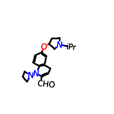 CC(C)N1CCC(Oc2ccc3c(c2)CC=C(C=O)N3N2CCC2)C1